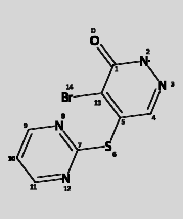 O=C1[N]N=CC(Sc2ncccn2)=C1Br